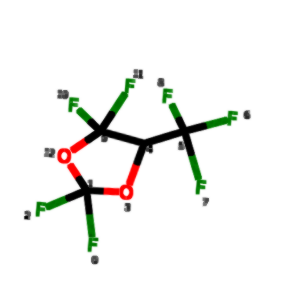 FC1(F)OC(C(F)(F)F)C(F)(F)O1